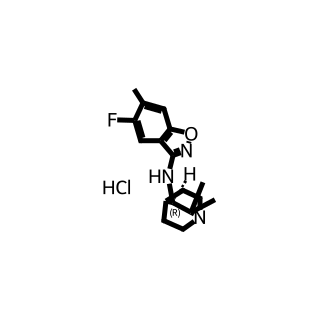 Cc1cc2onc(N[C@@H]3C4CCN(CC4)C3(C)C)c2cc1F.Cl